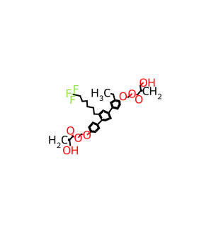 C=C(CO)C(=O)OCOc1ccc(-c2ccc(-c3ccc(OCOC(=O)C(=C)CO)c(CC)c3)cc2CCCCCCC(F)(F)F)cc1